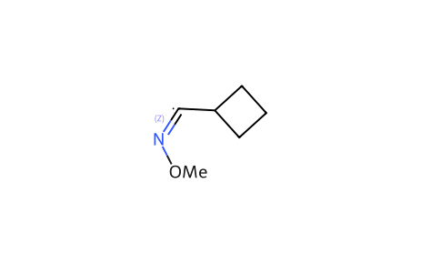 CO/N=[C]\C1CCC1